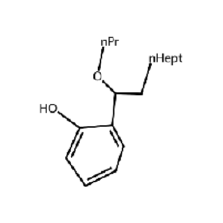 CCCCCCCCC(OCCC)c1ccccc1O